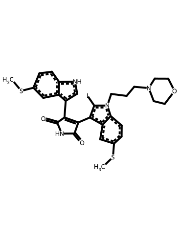 CSc1ccc2[nH]cc(C3=C(c4c(I)n(CCCN5CCOCC5)c5ccc(SC)cc45)C(=O)NC3=O)c2c1